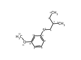 CCC(C)CSc1cccc(OC)c1